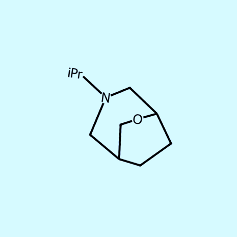 CC(C)N1CC2CCC(C1)OC2